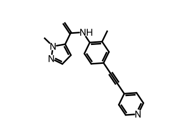 C=C(Nc1ccc(C#Cc2ccncc2)cc1C)c1ccnn1C